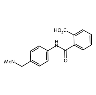 CNCc1ccc(NC(=O)c2ccccc2C(=O)O)cc1